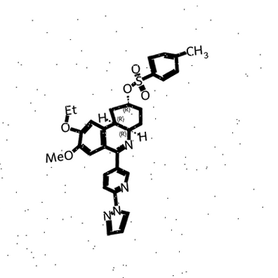 CCOc1cc2c(cc1OC)C(c1ccc(-n3cccn3)nc1)=N[C@@H]1CC[C@@H](OS(=O)(=O)c3ccc(C)cc3)C[C@H]21